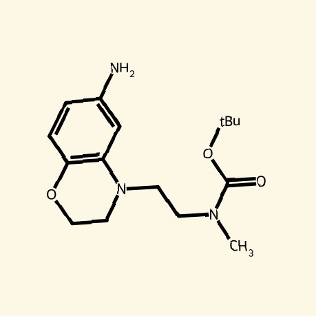 CN(CCN1CCOc2ccc(N)cc21)C(=O)OC(C)(C)C